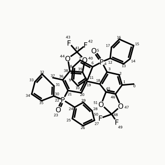 Cc1cc(P(=O)(c2ccccc2)c2ccccc2)c(-c2cc(P(=O)(c3ccccc3)c3ccccc3)c(C)c3c2OC(F)(F)O3)c2c1OC(F)(F)O2